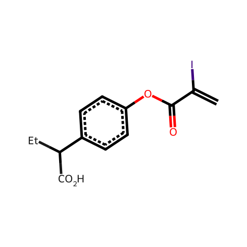 C=C(I)C(=O)Oc1ccc(C(CC)C(=O)O)cc1